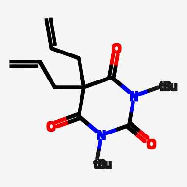 C=CCC1(CC=C)C(=O)N(C(C)(C)C)C(=O)N(C(C)(C)C)C1=O